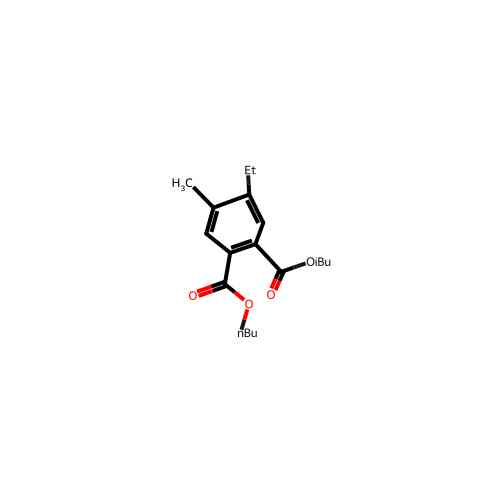 CCCCOC(=O)c1cc(C)c(CC)cc1C(=O)OCC(C)C